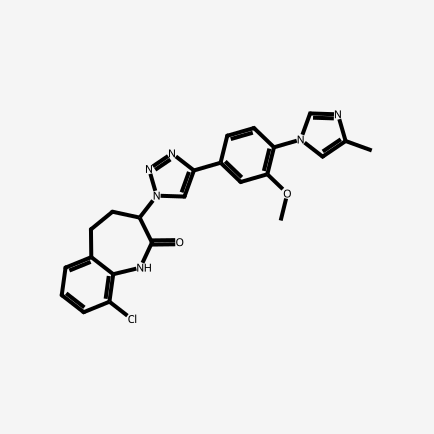 COc1cc(-c2cn(C3CCc4cccc(Cl)c4NC3=O)nn2)ccc1-n1cnc(C)c1